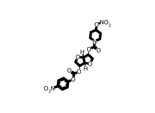 O=C(Oc1ccc([N+](=O)[O-])cc1)O[C@@H]1CO[C@H]2[C@H]1OC[C@H]2OC(=O)N1CCC(O[N+](=O)[O-])CC1